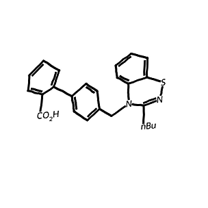 CCCCC1=NSc2ccccc2N1Cc1ccc(-c2ccccc2C(=O)O)cc1